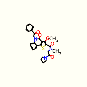 COc1c(C(=O)N(C)CC(=O)N2CCCC2)sc2c1c(=O)n(CC(=O)c1ccccc1)c1ccccc21